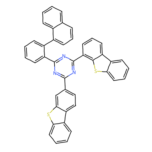 c1ccc(-c2cccc3ccccc23)c(-c2nc(-c3ccc4c(c3)sc3ccccc34)nc(-c3cccc4c3sc3ccccc34)n2)c1